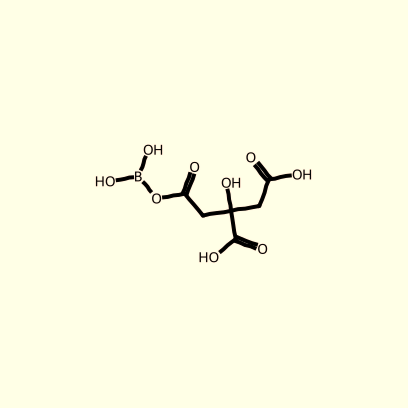 O=C(O)CC(O)(CC(=O)OB(O)O)C(=O)O